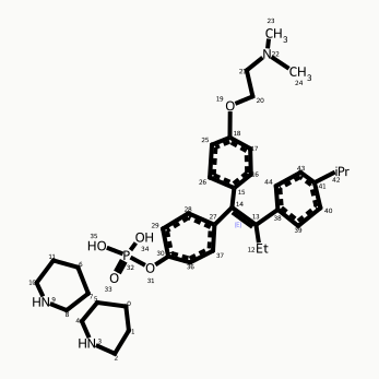 C1CCNCC1.C1CCNCC1.CC/C(=C(/c1ccc(OCCN(C)C)cc1)c1ccc(OP(=O)(O)O)cc1)c1ccc(C(C)C)cc1